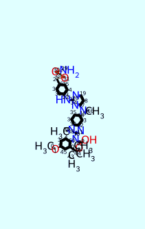 COc1ccc(N(C(=O)O)c2nc3cc(N(C)c4ccnc(Nc5ccc(CS(N)(=O)=O)cc5)n4)ccc3n2C)c(C(C)(C)C)c1